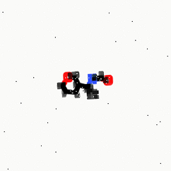 CC[C@@H](N=C=O)C1CCCOC1